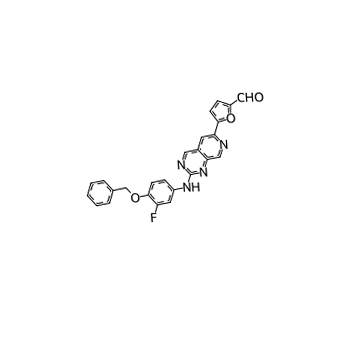 O=Cc1ccc(-c2cc3cnc(Nc4ccc(OCc5ccccc5)c(F)c4)nc3cn2)o1